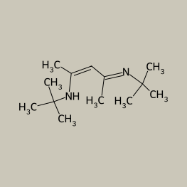 C/C(=C/C(C)=N/C(C)(C)C)NC(C)(C)C